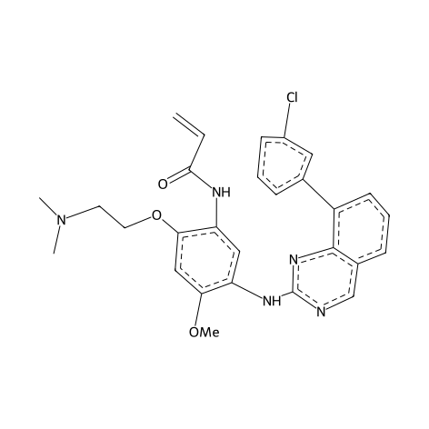 C=CC(=O)Nc1cc(Nc2ncc3cccc(-c4cccc(Cl)c4)c3n2)c(OC)cc1OCCN(C)C